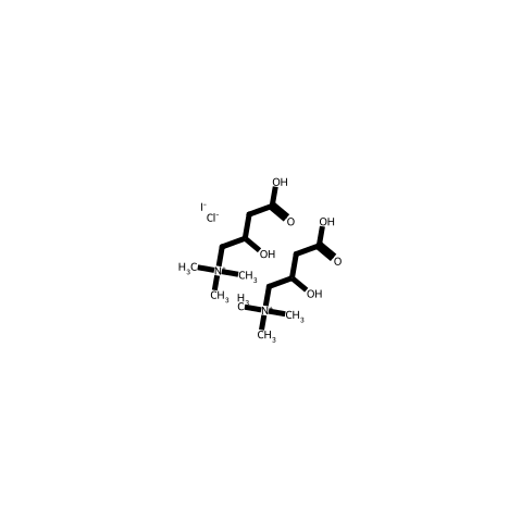 C[N+](C)(C)CC(O)CC(=O)O.C[N+](C)(C)CC(O)CC(=O)O.[Cl-].[I-]